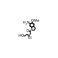 CCN(CCO)CC(=O)N1CCc2cc(OC)c(N)cc21